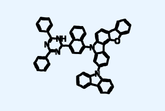 c1ccc(C2=NC(c3ccc(-n4c5cc(-n6c7ccccc7c7ccccc76)ccc5c5c6oc7ccccc7c6ccc54)c4ccccc34)NC(c3ccccc3)=N2)cc1